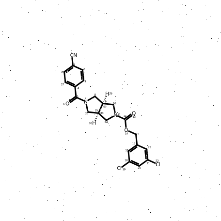 N#Cc1ccc(C(=O)N2C[C@H]3CN(C(=O)OCc4cc(Cl)cc(Cl)c4)C[C@H]3C2)cc1